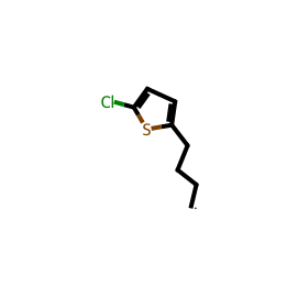 [CH2]CCCc1ccc(Cl)s1